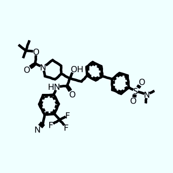 CN(C)S(=O)(=O)c1ccc(-c2cccc(CC(O)(C(=O)Nc3ccc(C#N)c(C(F)(F)F)c3)C3CCN(C(=O)OC(C)(C)C)CC3)c2)cc1